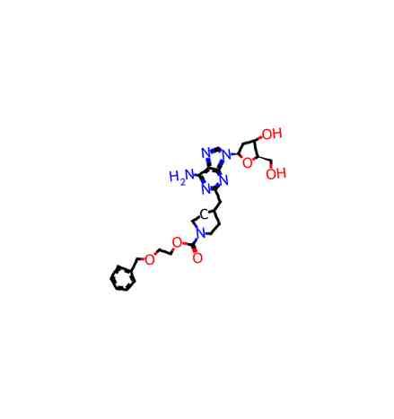 Nc1nc(CC2CCN(C(=O)OCCOCc3ccccc3)CC2)nc2c1ncn2[C@H]1CC(O)[C@@H](CO)O1